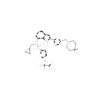 CC1(O)CCN(Cc2cnc(-c3cc4cccc(N(CC5CC5)S(=O)(=O)c5cccs5)c4[nH]3)s2)CC1.O=C(O)C(F)(F)F